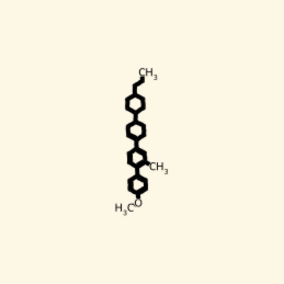 CCCC1CCC(C2CC=C(c3ccc(-c4ccc(OC)cc4)c(C)c3)CC2)CC1